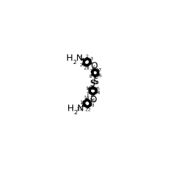 Nc1ccc(Oc2ccc(SSc3ccc(Oc4ccc(N)cc4)cc3)cc2)cc1